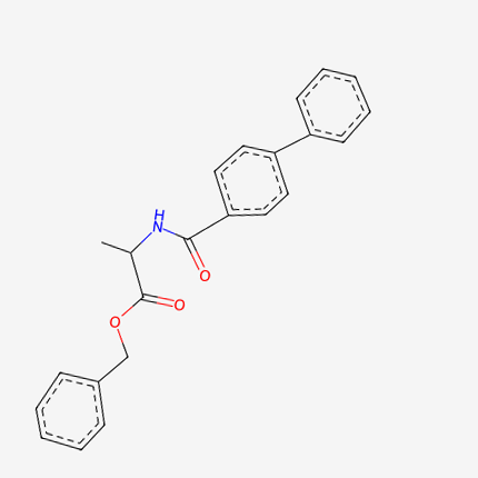 CC(NC(=O)c1ccc(-c2ccccc2)cc1)C(=O)OCc1ccccc1